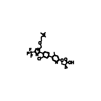 Cc1cc(OCC2(C(=O)O)CC2)ncc1-c1ccc(-c2nc(C(F)(F)F)cn2COCC[Si](C)(C)C)c(Cl)c1